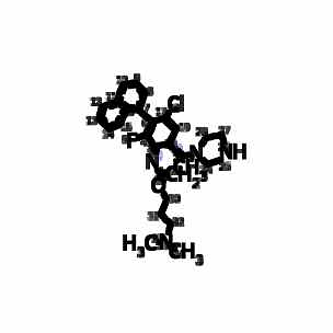 C=C(/N=C1/C(F)=C(c2cccc3ccccc23)C(Cl)=C/C1=C(/C)N1CCNCC1)OCCCN(C)C